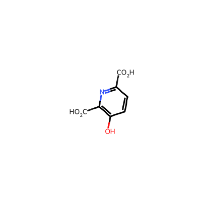 O=C(O)c1ccc(O)c(C(=O)O)n1